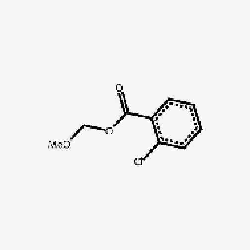 [CH2]OCOC(=O)c1ccccc1Cl